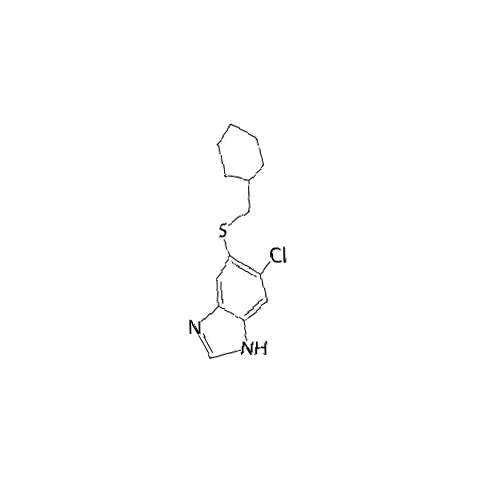 Clc1cc2[nH]cnc2cc1SCC1CCCCC1